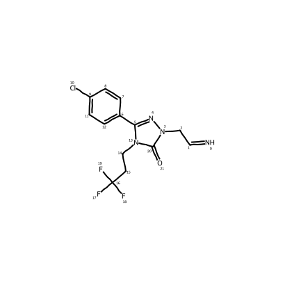 N=CCn1nc(-c2ccc(Cl)cc2)n(CCC(F)(F)F)c1=O